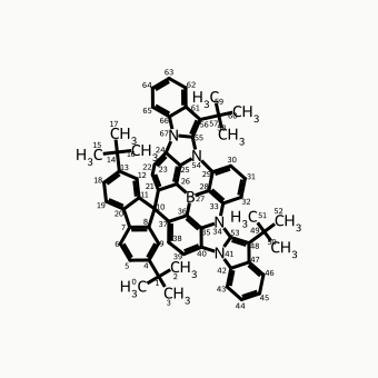 CC(C)(C)c1ccc2c(c1)C1(c3cc(C(C)(C)C)ccc3-2)c2ccc3c4c2B2c5c(cccc5-n5c6c2c1ccc6n1c2ccccc2c(C(C)(C)C)c51)-n4c1c(C(C)(C)C)c2ccccc2n31